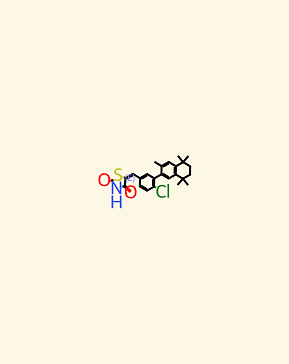 Cc1cc2c(cc1-c1cc(/C=C3/SC(=O)NC3=O)ccc1Cl)C(C)(C)CCC2(C)C